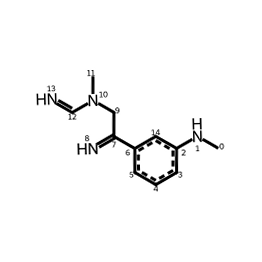 CNc1cccc(C(=N)CN(C)C=N)c1